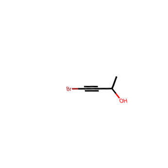 CC(O)C#CBr